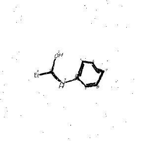 CCC(O)Nc1ccccc1